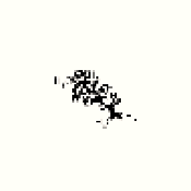 C=C(C)C(=O)OC(C)(CC)[Si](C)(C)OC(C)(CC)[Si](C)(C)C